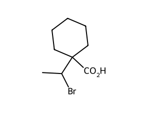 CC(Br)C1(C(=O)O)CCCCC1